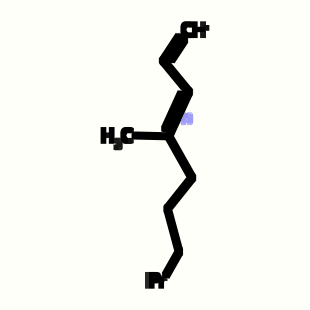 [CH]=C/C=C(\C)CCCC(C)C